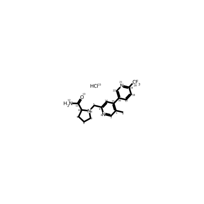 Cc1cnc(CN2CCCC2C(N)=O)cc1-c1ccc(C(F)(F)F)nc1.Cl